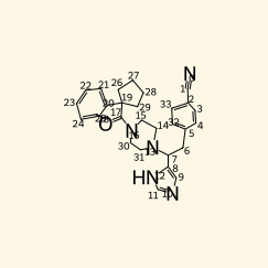 N#Cc1ccc(CC(c2cnc[nH]2)N2CCN(C(=O)C3(c4ccccc4)CCCC3)CC2)cc1